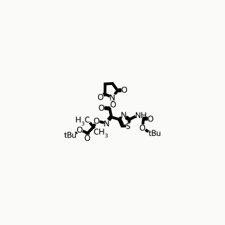 CC(C)(C)OC(=O)Nc1nc(C(=NOC(C)(C)C(=O)OC(C)(C)C)C(=O)ON2C(=O)CCC2=O)cs1